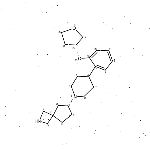 c1ccc(C2CCN([C@@H]3CCC4(CNC4)C3)CC2)c(O[C@@H]2CCOC2)c1